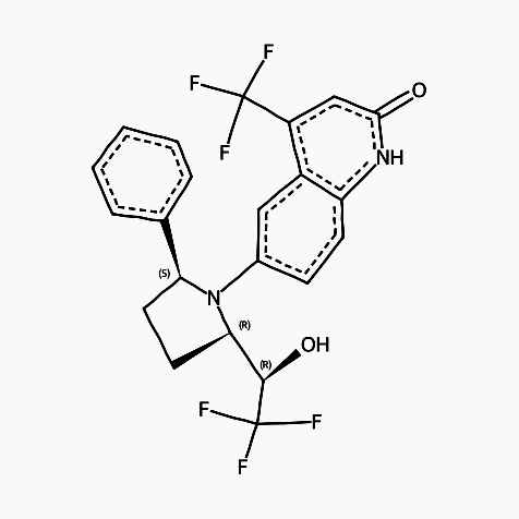 O=c1cc(C(F)(F)F)c2cc(N3[C@@H]([C@@H](O)C(F)(F)F)CC[C@H]3c3ccccc3)ccc2[nH]1